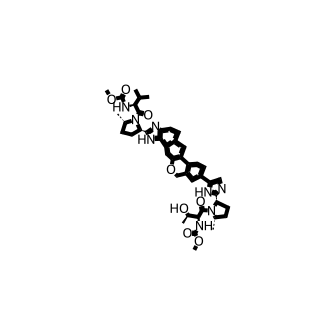 COC(=O)N[C@H](C(=O)N1[C@@H](C)CC[C@H]1c1nc2ccc3cc4c(cc3c2[nH]1)OCc1cc(-c2cnc([C@@H]3CC[C@H](C)N3C(=O)[C@@H](NC(=O)OC)[C@@H](C)O)[nH]2)ccc1-4)C(C)C